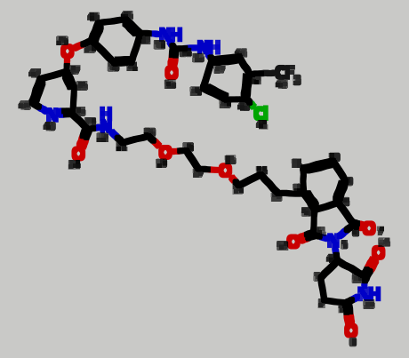 O=C1CCC(N2C(=O)c3cccc(CCCOCCOCCNC(=O)c4cc(Oc5ccc(NC(=O)Nc6ccc(Cl)c(C(F)(F)F)c6)cc5)ccn4)c3C2=O)C(=O)N1